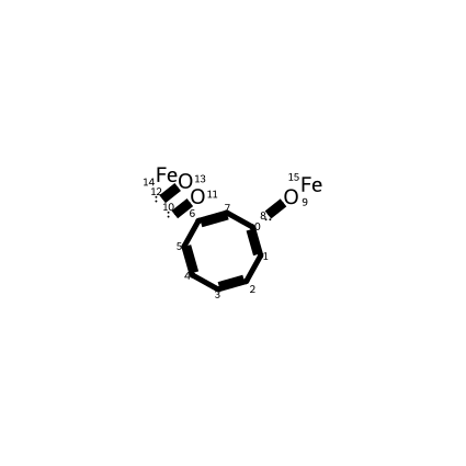 C1=C\C=C/C=C\C=C/1.[C]=O.[C]=O.[C]=O.[Fe].[Fe]